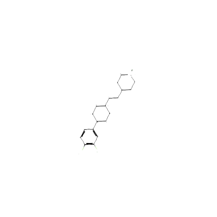 Fc1ccc(C2CCC(CCC3CC[SiH](Cl)CC3)CC2)cc1F